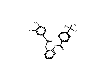 Cc1ccc(C(=O)Nc2ccccc2NC(=O)c2ccc(C(C)(C)C)cc2)cc1O